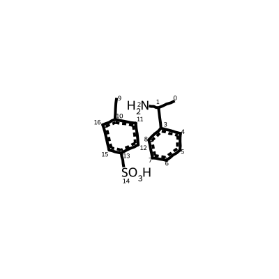 CC(N)c1ccccc1.Cc1ccc(S(=O)(=O)O)cc1